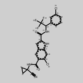 N#CC1(NC(=O)c2cc3cc(C(=O)NC(c4cccc(Cl)c4)C(F)(F)F)[nH]c3cc2Cl)CC1